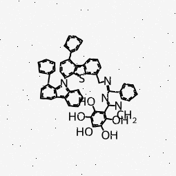 C=N/C(=N\C(=N/Cc1cccc2c1sc1c(-n3c4ccccc4c4cccc(-c5ccccc5)c43)ccc(-c3ccccc3)c12)c1ccccc1)c1c(O)c(O)c(O)c(O)c1O